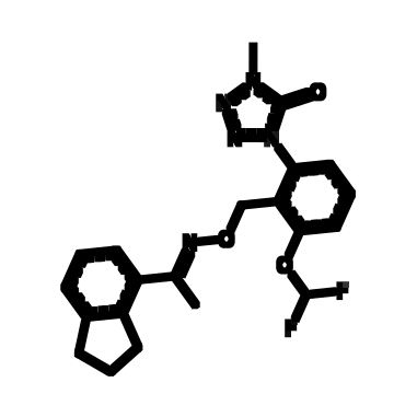 C/C(=N\OCc1c(OC(F)F)cccc1-n1nnn(C)c1=O)c1cccc2c1CCC2